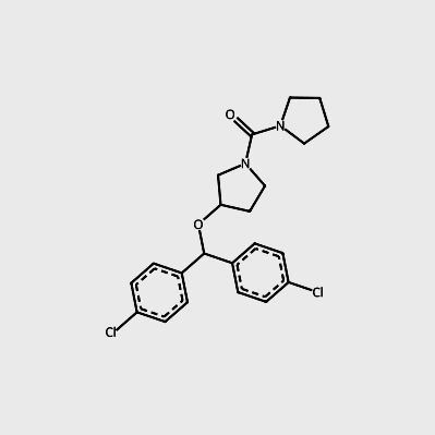 O=C(N1CCCC1)N1CCC(OC(c2ccc(Cl)cc2)c2ccc(Cl)cc2)C1